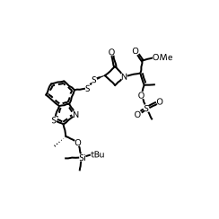 COC(=O)C(=C(C)OS(C)(=O)=O)N1C[C@@H](SSc2cccc3sc([C@@H](C)O[Si](C)(C)C(C)(C)C)nc23)C1=O